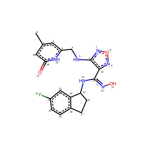 Cc1cc(CNc2nonc2/C(=N\O)NC2CCc3ccc(F)cc32)[nH]c(=O)c1